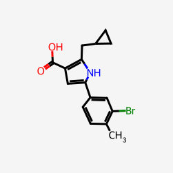 Cc1ccc(-c2cc(C(=O)O)c(CC3CC3)[nH]2)cc1Br